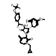 COc1ccc([C@@H]2CN(c3c(C)ccn(CC4CC4)c3=O)C(=O)C2NC(=O)c2ccc(OC(F)(F)F)cc2)c(F)c1